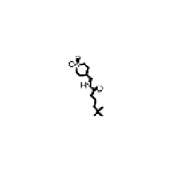 CC(C)(C)CCCC(=O)NCC1CCS(=O)(=O)CC1